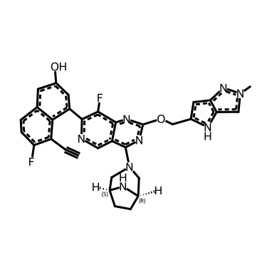 C#Cc1c(F)ccc2cc(O)cc(-c3ncc4c(N5C[C@H]6CC[C@@H](C5)N6)nc(OCc5cc6nn(C)cc6[nH]5)nc4c3F)c12